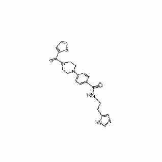 O=C(NCCc1cnc[nH]1)c1ccc(N2CCN(C(=O)c3cccs3)CC2)nc1